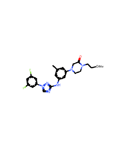 COCCN1CCN(c2cc(C)cc(Nc3ncn(-c4cc(F)cc(F)c4)n3)c2)CC1=O